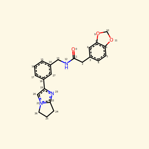 O=C(Cc1ccc2c(c1)OCO2)NCc1cccc(-c2cn3c(n2)CCC3)c1